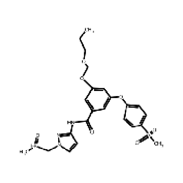 CCCOCOc1cc(Oc2ccc(S(C)(=O)=O)cc2)cc(C(=O)Nc2ccn(C[PH](C)=O)n2)c1